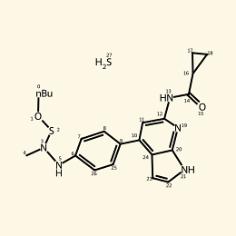 CCCCOSN(C)Nc1ccc(-c2cc(NC(=O)C3CC3)nc3[nH]ccc23)cc1.S